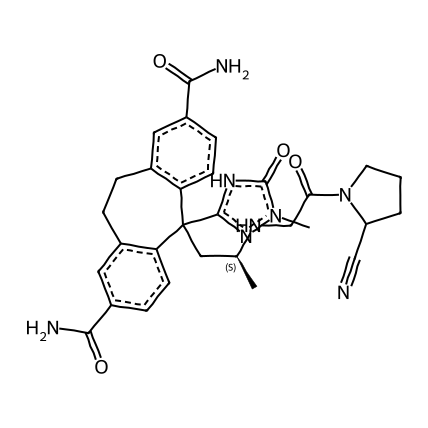 C[C@@H](CC1(c2nn(C)c(=O)[nH]2)c2ccc(C(N)=O)cc2CCc2cc(C(N)=O)ccc21)NCC(=O)N1CCCC1C#N